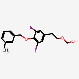 Cc1cccc(COc2c(I)cc(CCOCO)cc2I)c1